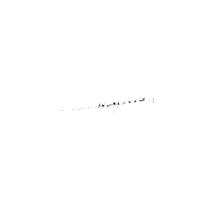 CCCCCCCCCCCCCCCCOC(=O)CCC(=O)CCC(=O)NCCOCCOCCOCCOCCC(=O)O